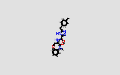 Cc1ccc(Cc2nnc(C(=O)NC3COc4ccccc4N(C)C3=O)[nH]2)cc1